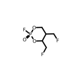 O=P1(F)OCC(CF)C(CF)O1